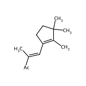 CC(=O)/C(C)=C/C1=C(C)C(C)(C)CC1